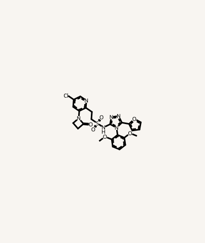 COc1cccc(OC)c1-n1c(NS(=O)(=O)CCc2ncc(Cl)cc2N2CCC2=O)nnc1-c1ccco1